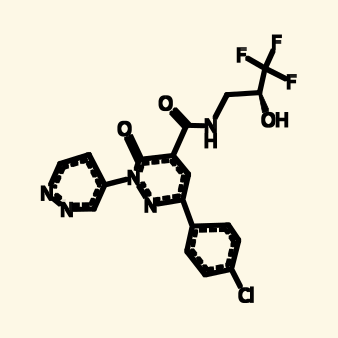 O=C(NC[C@H](O)C(F)(F)F)c1cc(-c2ccc(Cl)cc2)nn(-c2ccnnc2)c1=O